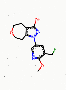 COc1ncc(-n2nc(O)c3c2CCOCC3)cc1CF